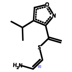 C=C(S/C=C\N)c1nocc1C(C)C